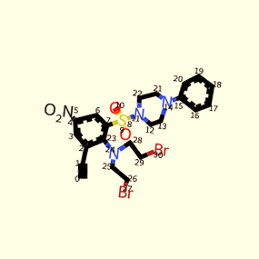 C#Cc1cc([N+](=O)[O-])cc(S(=O)(=O)N2CCN(c3ccccc3)CC2)c1N(CCBr)CCBr